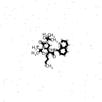 CCCCC(C(=O)Nc1cccc2cccnc12)C1CN(C(C)(C)C)C(=O)N1C(C)(C)C